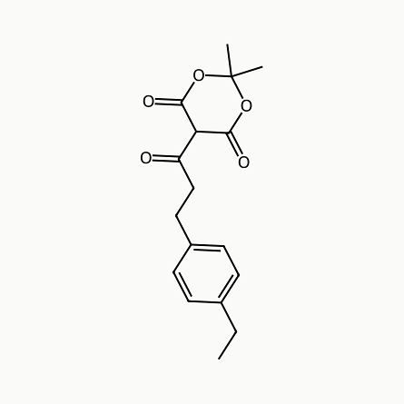 CCc1ccc(CCC(=O)C2C(=O)OC(C)(C)OC2=O)cc1